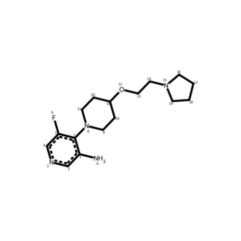 Nc1cncc(F)c1N1CCC(OCCN2CCCC2)CC1